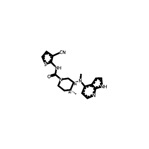 C[C@@H]1CCN(C(=O)Nc2sccc2C#N)C[C@@H]1N(C)c1ccnc2[nH]ccc12